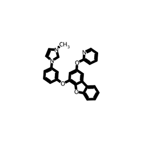 CN1C=CN(c2cccc(Oc3cc(Oc4ccccn4)cc4c3oc3ccccc34)c2)C1